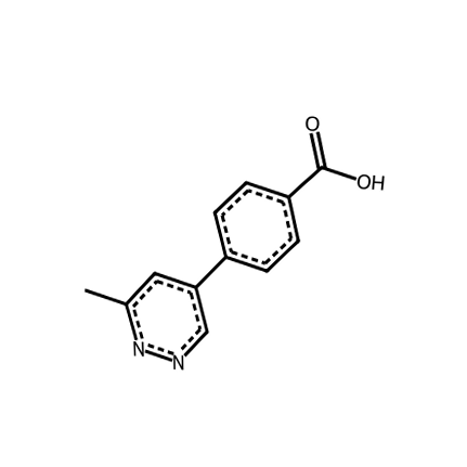 Cc1cc(-c2ccc(C(=O)O)cc2)cnn1